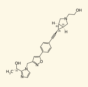 C[C@H](O)c1nccn1Cc1cc(-c2ccc(C#C[C@H]3[C@H]4CN(CCO)C[C@@H]34)cc2)on1